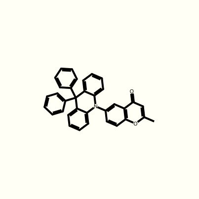 Cc1cc(=O)c2cc(N3c4ccccc4C(c4ccccc4)(c4ccccc4)c4ccccc43)ccc2o1